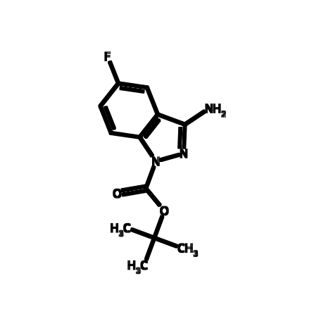 CC(C)(C)OC(=O)n1nc(N)c2cc(F)ccc21